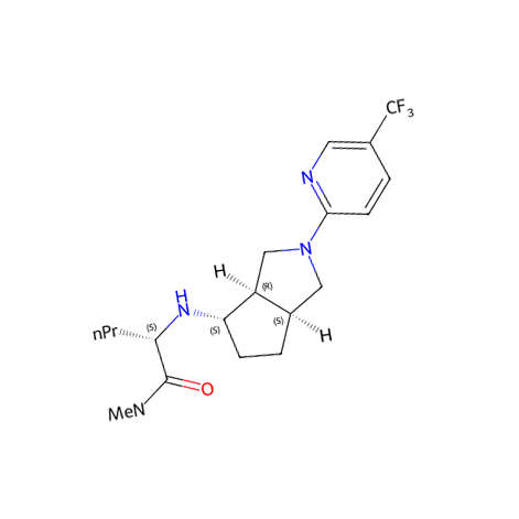 CCC[C@H](N[C@H]1CC[C@@H]2CN(c3ccc(C(F)(F)F)cn3)C[C@@H]21)C(=O)NC